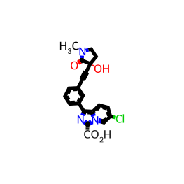 CN1CC[C@@](O)(C#Cc2cccc(-c3nc(C(=O)O)n4cc(Cl)ccc34)c2)C1=O